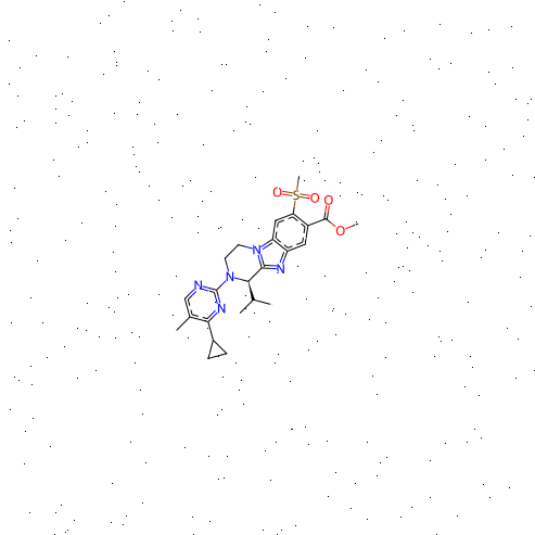 COC(=O)c1cc2nc3n(c2cc1S(C)(=O)=O)CCN(c1ncc(C)c(C2CC2)n1)[C@@H]3C(C)C